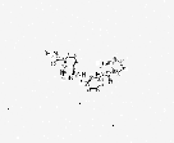 NC(=O)c1cccc2c(NCc3cccc(NC(=O)c4ccccc4C(F)(F)F)c3)ncnc12